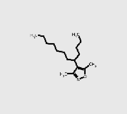 CCCCCCCC(CCCC)c1c(C)noc1C